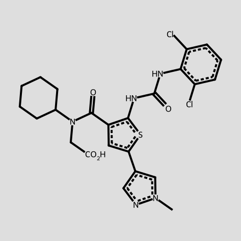 Cn1cc(-c2cc(C(=O)N(CC(=O)O)C3CCCCC3)c(NC(=O)Nc3c(Cl)cccc3Cl)s2)cn1